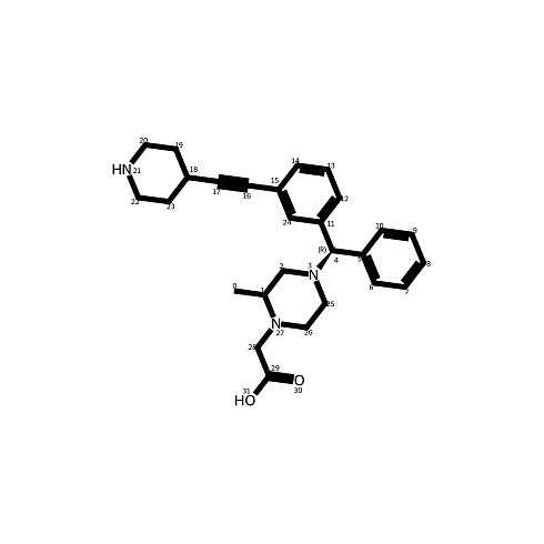 CC1CN([C@H](c2ccccc2)c2cccc(C#CC3CCNCC3)c2)CCN1CC(=O)O